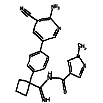 Cn1cc(C(=O)NC(=N)C2(c3ccc(-c4cnc(N)c(C#N)c4)cc3)CCC2)cn1